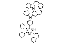 C1=CCC(C2=CCCC=C2C2=NC(c3cccc4ccccc34)NC(c3ccc(-n4c5c(c6c4=CC4=CC=CCC4C=6N4C6C=CC=CC6C6C=Cc7ccccc7C64)C=CCC5)cc3)=N2)C=C1